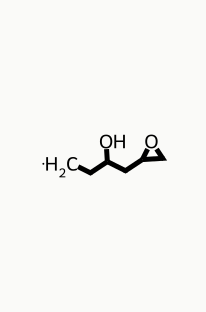 [CH2]CC(O)CC1CO1